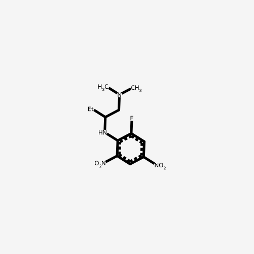 CCC(CN(C)C)Nc1c(F)cc([N+](=O)[O-])cc1[N+](=O)[O-]